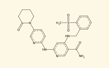 CS(=O)(=O)c1ccccc1CNc1cc(Nc2ccc(N3CCCCC3=O)cn2)ncc1C(N)=O